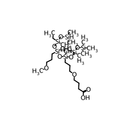 CC[Si](C)(O[SiH](C)C)O[Si](C)(CCCOC)O[Si](C)(CCCOCCCC(=O)O)O[Si](C)(C)O[Si](C)(C)C